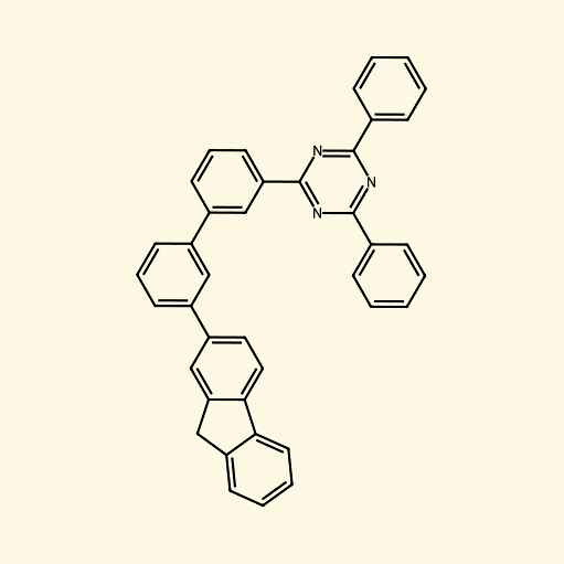 c1ccc(-c2nc(-c3ccccc3)nc(-c3cccc(-c4cccc(-c5ccc6c(c5)Cc5ccccc5-6)c4)c3)n2)cc1